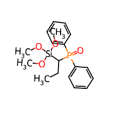 CCC([Si](OC)(OC)OC)P(=O)(c1ccccc1)c1ccccc1